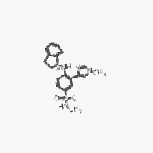 CNS(=O)(=O)c1ccc(N[C@H]2CCc3ccccc32)c(-c2cn(C)cn2)c1